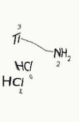 Cl.Cl.[NH2][Ti]